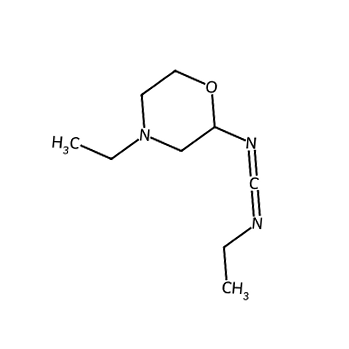 CCN=C=NC1CN(CC)CCO1